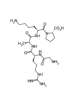 C[C@H](NC(=O)[C@H](CCCNC(=N)N)NC(=O)CN)C(=O)N[C@@H](CCCCN)C(=O)N1CCC[C@H]1C(=O)O